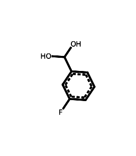 OC(O)c1cccc(F)c1